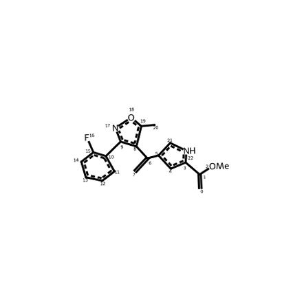 C=C(OC)c1cc(C(=C)c2c(-c3ccccc3F)noc2C)c[nH]1